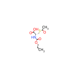 C=CCOC(=O)N[C@@H](CSC(C)=O)C(=O)O